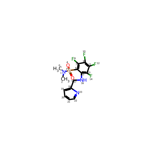 CN(C)S(=O)(=O)c1c(F)c(F)c(F)c(F)c1NCc1ccccn1